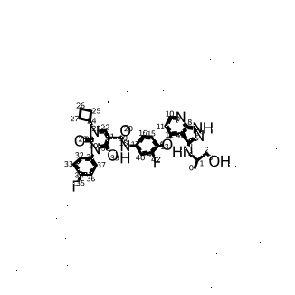 CC(CO)Nc1n[nH]c2nccc(Oc3ccc(NC(=O)c4cn(C5CCC5)c(=O)n(-c5ccc(F)cc5)c4=O)cc3F)c12